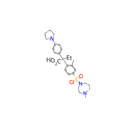 CCC(C(=O)O)(c1ccc(N2CCCC2)cc1)c1ccc(S(=O)(=O)N2CCCN(C)CC2)cc1C